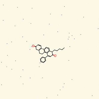 CCCCCC1C(=O)C=C(c2ccccc2)c2c1ccc1c2CCC2=C1C=CC(=O)C2